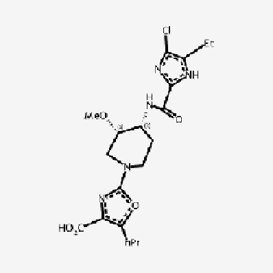 CCCc1oc(N2CC[C@@H](NC(=O)c3nc(Cl)c(CC)[nH]3)[C@@H](OC)C2)nc1C(=O)O